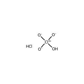 Cl.[O-][Cl+3]([O-])([O-])O